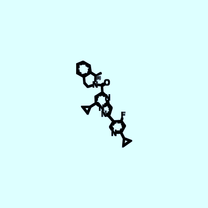 C[C@@H]1c2ccccc2CCN1C(=O)c1cc(C2CC2)n2nc(-c3cnc(C4CC4)cc3F)cc2n1